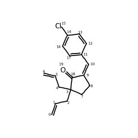 C=CCC1(CC=C)CCC(=Cc2ccc(Cl)cc2)C1=O